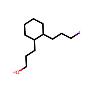 OCCCC1CCCCC1CCCI